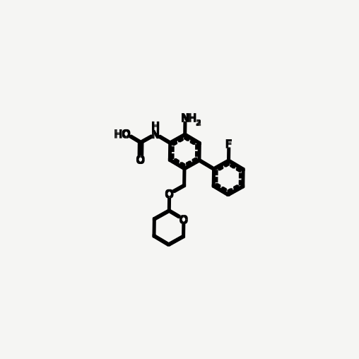 Nc1cc(-c2ccccc2F)c(COC2CCCCO2)cc1NC(=O)O